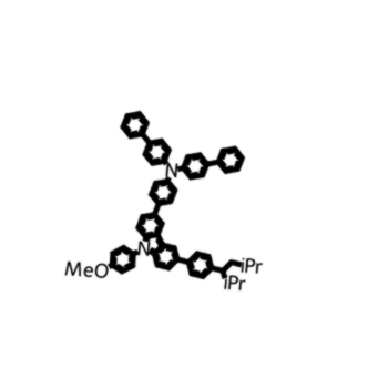 COc1ccc(-n2c3ccc(-c4ccc(C(CC(C)C)C(C)C)cc4)cc3c3cc(-c4ccc(N(c5ccc(-c6ccccc6)cc5)c5ccc(-c6ccccc6)cc5)cc4)ccc32)cc1